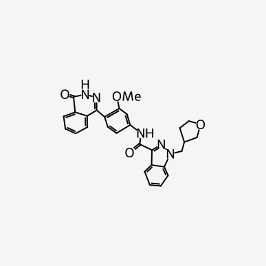 COc1cc(NC(=O)c2nn(CC3CCOC3)c3ccccc23)ccc1-c1n[nH]c(=O)c2ccccc12